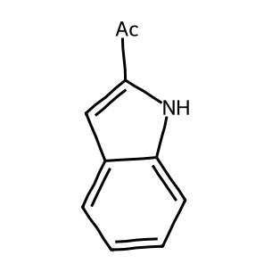 [CH2]C(=O)c1cc2ccccc2[nH]1